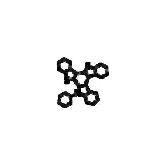 c1ccc(-n2c3ccccc3c3c4c5ccccc5sc4c4c5ccccc5sc4c32)cc1